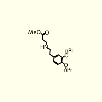 CCCOc1ccc(CCNCCC(=O)OC)cc1OCCC